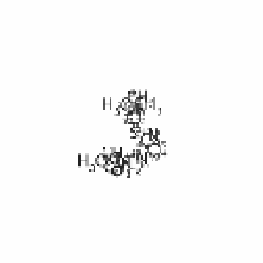 CC(C)(C)OC(=O)N1CCCN(c2cccc3ncc(Sc4ccc(C(C)(C)C)cc4)cc23)CC1